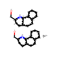 [Be+2].[O-]Cc1ccc2ccc3ccccc3c2n1.[O-]Cc1ccc2ccc3ccccc3c2n1